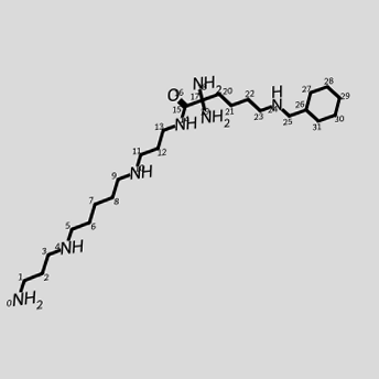 NCCCNCCCCCNCCCNC(=O)C(N)(N)CCCCNCC1CCCCC1